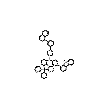 c1ccc(C2(c3ccccc3)c3ccccc3-c3c(N(c4ccc(-c5cccc(-c6cccc7ccccc67)c5)cc4)c4ccc(-c5cccc6c5sc5ccccc56)cc4)cccc32)cc1